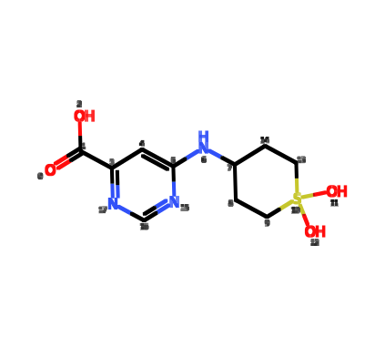 O=C(O)c1cc(NC2CCS(O)(O)CC2)ncn1